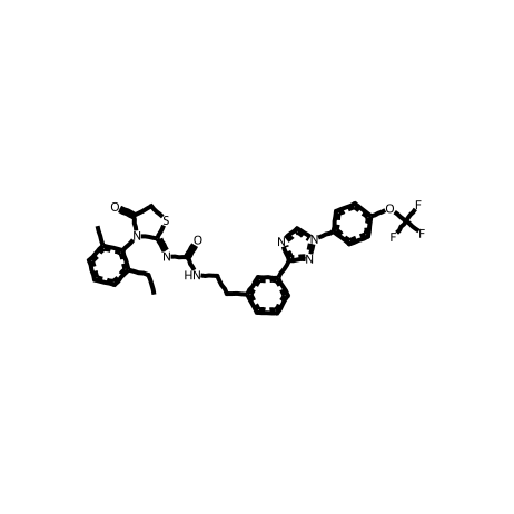 CCc1cccc(C)c1N1C(=O)CS/C1=N\C(=O)NCCc1cccc(-c2ncn(-c3ccc(OC(F)(F)F)cc3)n2)c1